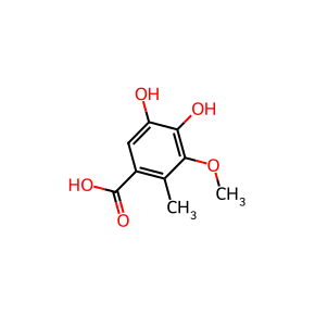 COc1c(C)c(C(=O)O)cc(O)c1O